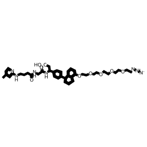 Cc1ccnc(NCCCC(=O)NCC(=O)NC(CC(=O)O)c2ccc(-c3cccc4c(OCCOCCOCCOCCOCCN=[N+]=[N-])cccc34)cc2)c1